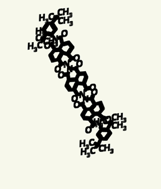 CC(C)(C)c1ccc(C(C)(C)C)c(N2C(=O)c3ccc4c5c(ccc(c35)C2=O)C(=O)N(N2C(=O)c3ccc5c6c(ccc(c36)C2=O)C(=O)N(N2C(=O)c3ccc6c7c(ccc(c37)C2=O)C(=O)N(c2cc(C(C)(C)C)ccc2C(C)(C)C)C6=O)C5=O)C4=O)c1